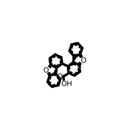 O=C(O)c1ccc2oc3ccccc3c2c1-c1cccc2oc3ccccc3c12